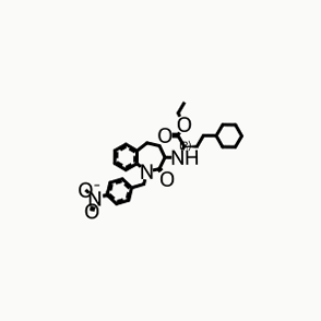 CCOC(=O)[C@@H](CCC1CCCCC1)NC1CCc2ccccc2N(Cc2ccc([N+](=O)[O-])cc2)C1=O